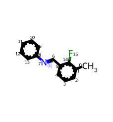 Cc1cccc(/C=N/c2ccccc2)c1F